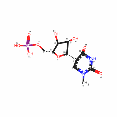 Cn1cc([C@@H]2O[C@H](COP(=O)(O)O)C(O)[C@H]2O)c(=O)[nH]c1=O